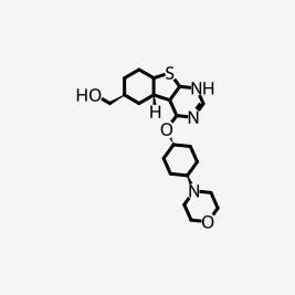 OC[C@H]1CCC2SC3NC=NC(O[C@H]4CC[C@H](N5CCOCC5)CC4)C3[C@@H]2C1